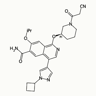 CC(C)Oc1cc2c(O[C@@H]3CCCN(C(=O)CC#N)C3)ncc(-c3cnn(C4CCC4)c3)c2cc1C(N)=O